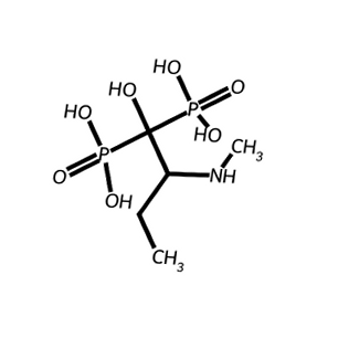 CCC(NC)C(O)(P(=O)(O)O)P(=O)(O)O